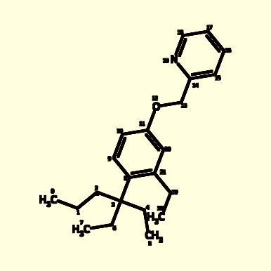 CC[C]C(CC)(CC)c1ccc(OCc2ccccn2)cc1CC